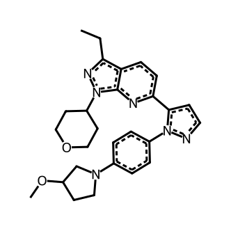 CCc1nn(C2CCOCC2)c2nc(-c3ccnn3-c3ccc(N4CCC(OC)C4)cc3)ccc12